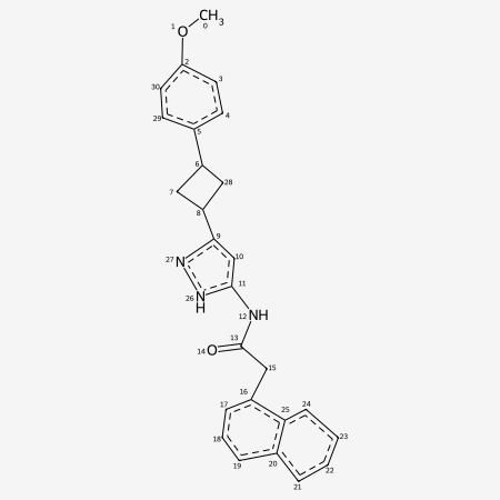 COc1ccc(C2CC(c3cc(NC(=O)Cc4cccc5ccccc45)[nH]n3)C2)cc1